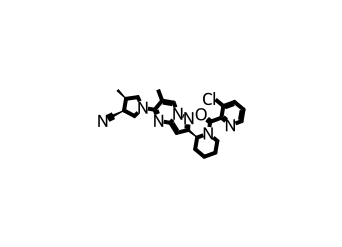 Cc1cn2nc([C@@H]3CCCCN3C(=O)c3ncccc3Cl)cc2nc1N1C[C@@H](C#N)[C@@H](C)C1